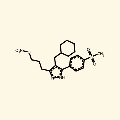 CS(=O)(=O)c1ccc(-c2[nH]nc(CCCO[N+](=O)[O-])c2CC2CCCCC2)cc1